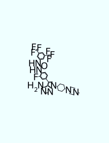 CN1CCN([C@H]2CC[C@@H](n3cc(-c4ccc(NC(=O)Nc5cc(C(F)(F)F)cc(C(F)(F)F)c5)c(F)c4)c4c(N)ncnc43)CC2)CC1